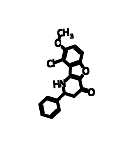 COc1ccc2oc3c(c2c1Cl)NC(c1ccccc1)CC3=O